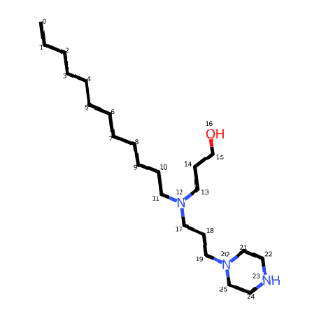 CCCCCCCCCCCCN(CCCO)CCCN1CCNCC1